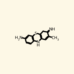 CC1=CC2=C(CC1=N)Sc1cc(N)ccc1N2